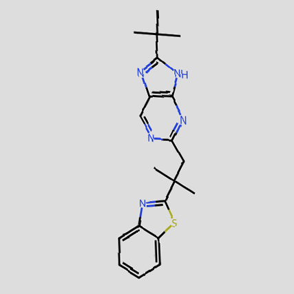 CC(C)(C)c1nc2cnc(CC(C)(C)c3nc4ccccc4s3)nc2[nH]1